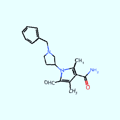 Cc1c(C(N)=O)c(C)n(C2CCN(Cc3ccccc3)C2)c1C=O